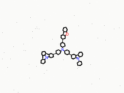 c1ccc(-n2c3ccccc3c3cc(-c4ccc(N(c5ccc(-c6ccc7c(c6)oc6ccccc67)cc5)c5ccc(-c6ccc7c(c6)c6cccc8c9ccccc9n7c86)cc5)cc4)ccc32)cc1